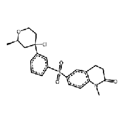 C[C@@H]1CC(Cl)(c2cccc(S(=O)(=O)c3ccc4c(c3)CCC(=O)N4C)c2)CCO1